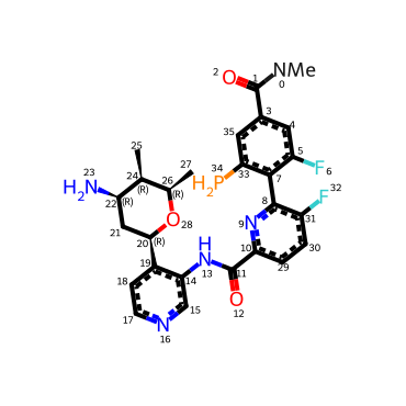 CNC(=O)c1cc(F)c(-c2nc(C(=O)Nc3cnccc3[C@H]3C[C@@H](N)[C@@H](C)[C@@H](C)O3)ccc2F)c(P)c1